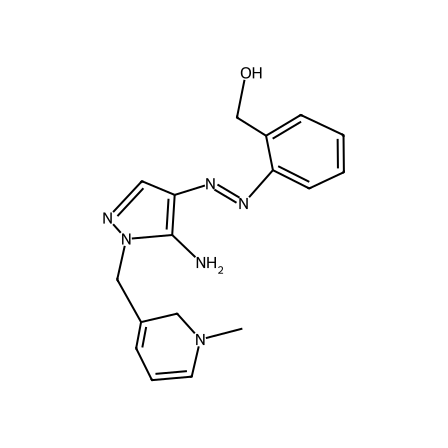 CN1C=CC=C(Cn2ncc(N=Nc3ccccc3CO)c2N)C1